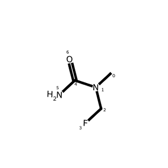 CN(CF)C(N)=O